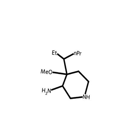 CCCC(CC)C1(OC)CCNCC1N